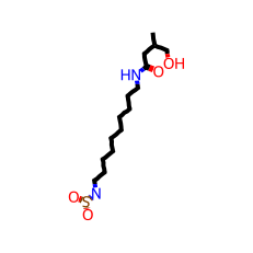 CC(CO)CC(=O)NCCCCCCCCCCN=S(=O)=O